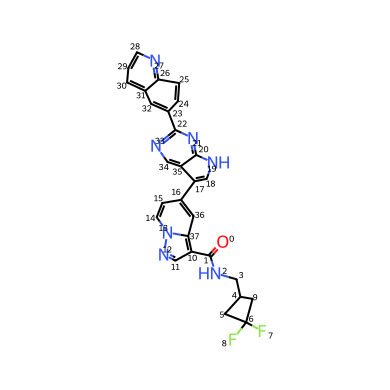 O=C(NCC1CC(F)(F)C1)c1cnn2ccc(-c3c[nH]c4nc(-c5ccc6ncccc6c5)ncc34)cc12